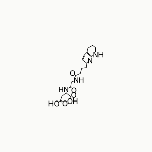 O=C(O)CC(NC(=O)CNC(=O)CCCc1ccc2c(n1)NCCC2)C(=O)O